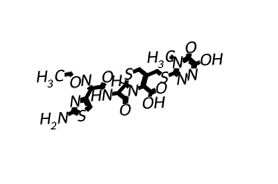 CCO/N=C(/C(=O)NC1C(=O)N2C(C(=O)O)=C(CSc3nnc(O)c(=O)n3C)CS[C@H]12)c1csc(N)n1